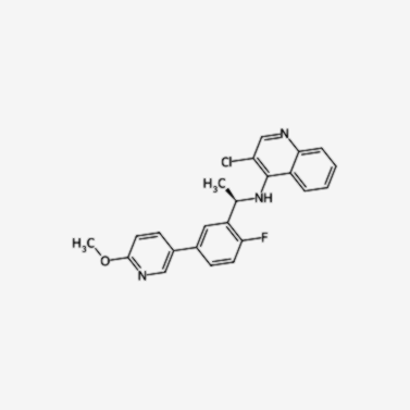 COc1ccc(-c2ccc(F)c([C@@H](C)Nc3c(Cl)cnc4ccccc34)c2)cn1